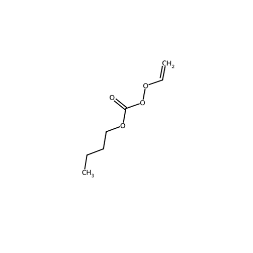 C=COOC(=O)OCCCC